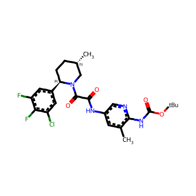 Cc1cc(NC(=O)C(=O)N2C[C@@H](C)CC[C@@H]2c2cc(F)c(F)c(Cl)c2)cnc1NC(=O)OC(C)(C)C